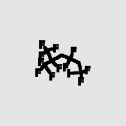 FC(F)(I)CC(F)(F)CC(F)(C(F)(F)F)C(F)(F)F